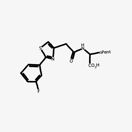 CCCCCC(NC(=O)Cc1csc(-c2cccc(F)c2)n1)C(=O)O